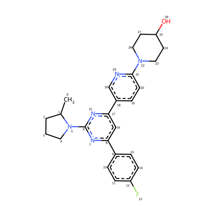 CC1CCCN1c1nc(-c2ccc(F)cc2)cc(-c2ccc(N3CCC(O)CC3)nc2)n1